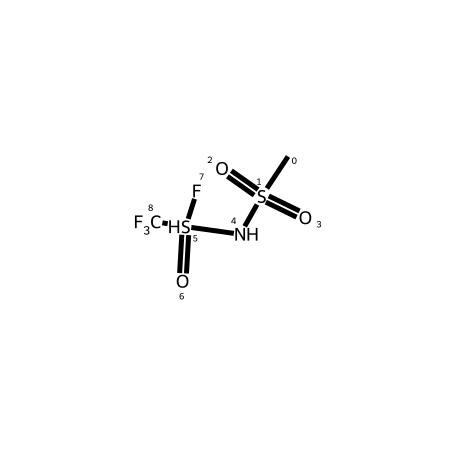 CS(=O)(=O)N[SH](=O)(F)C(F)(F)F